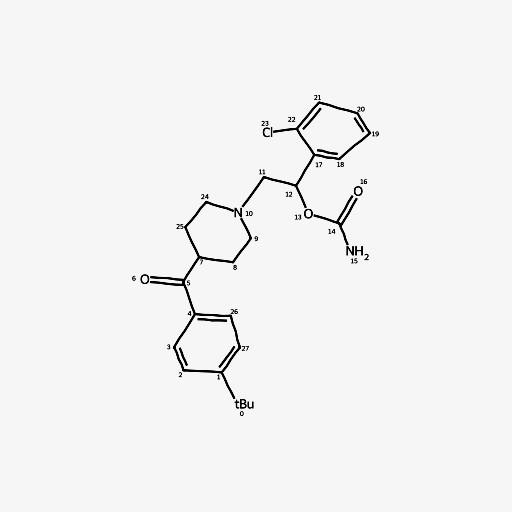 CC(C)(C)c1ccc(C(=O)C2CCN(CC(OC(N)=O)c3ccccc3Cl)CC2)cc1